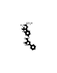 CC1(C)N=c2cc(OC(=O)C3CC(c4ccccc4)NC3=O)ccc2=C1C[C@H](N)C(=O)O